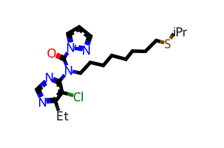 CCc1ncnc(N(CCCCCCCCSC(C)C)C(=O)n2cccn2)c1Cl